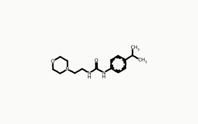 CC(C)c1ccc(NC(=O)NCCN2CCOCC2)cc1